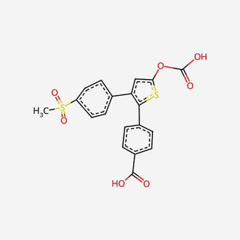 CS(=O)(=O)c1ccc(-c2cc(OC(=O)O)sc2-c2ccc(C(=O)O)cc2)cc1